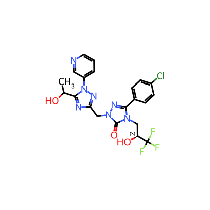 CC(O)c1nc(Cn2nc(-c3ccc(Cl)cc3)n(C[C@H](O)C(F)(F)F)c2=O)nn1-c1cccnc1